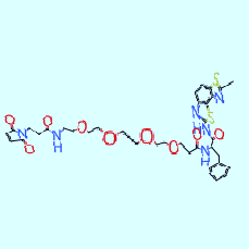 Cc1nc2c(ccc3nc(NC(=O)C(Cc4ccccc4)NC(=O)CCOCCOCCOCCOCCNC(=O)CCN4C(=O)C=CC4=O)sc32)s1